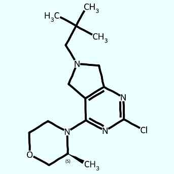 C[C@H]1COCCN1c1nc(Cl)nc2c1CN(CC(C)(C)C)C2